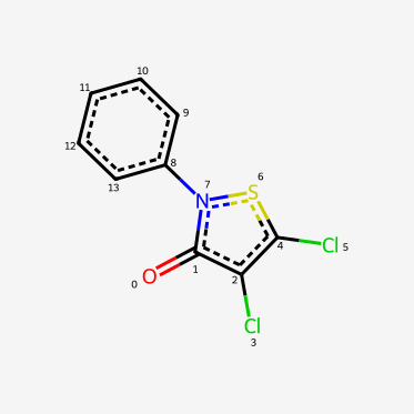 O=c1c(Cl)c(Cl)sn1-c1ccccc1